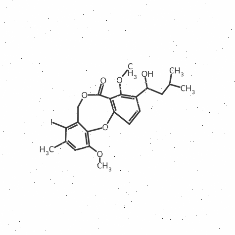 COc1cc(C)c(I)c2c1Oc1ccc(C(O)CC(C)C)c(OC)c1C(=O)OC2